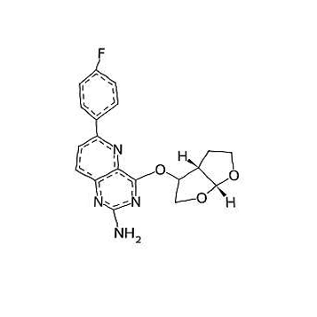 Nc1nc(OC2CO[C@H]3OCC[C@@H]23)c2nc(-c3ccc(F)cc3)ccc2n1